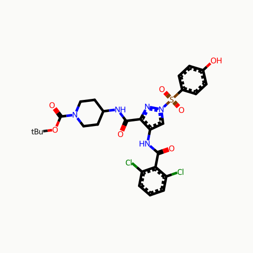 CC(C)(C)OC(=O)N1CCC(NC(=O)c2nn(S(=O)(=O)c3ccc(O)cc3)cc2NC(=O)c2c(Cl)cccc2Cl)CC1